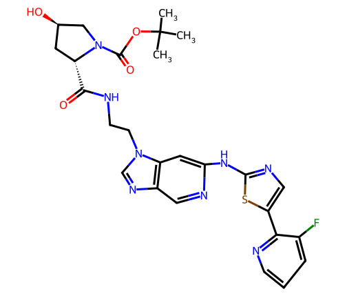 CC(C)(C)OC(=O)N1C[C@H](O)C[C@H]1C(=O)NCCn1cnc2cnc(Nc3ncc(-c4ncccc4F)s3)cc21